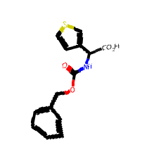 O=C(NC(C(=O)O)c1ccsc1)OCc1ccccc1